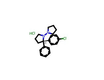 Cl.Clc1ccc([C@@]2(c3ccccc3)CCCN2N2CCCC2)cc1